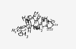 CC(C)C[C@@H](NC(=O)[C@@H](N)C(C(=O)[C@@H](O)C(N)Cc1ccccc1)C(C)C)C(=O)O